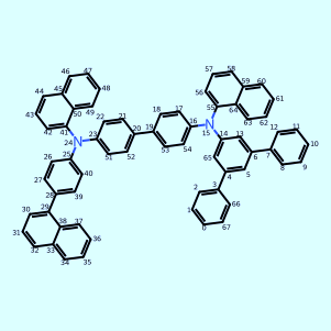 c1ccc(-c2cc(-c3ccccc3)cc(N(c3ccc(-c4ccc(N(c5ccc(-c6cccc7ccccc67)cc5)c5cccc6ccccc56)cc4)cc3)c3cccc4ccccc34)c2)cc1